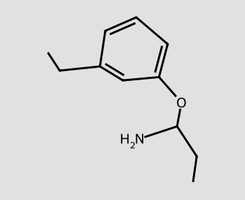 CCc1cccc(OC(N)CC)c1